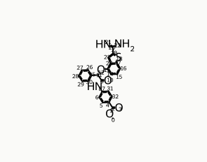 COC(=O)c1ccc(NC(=O)C(Oc2cccc3sc(C(=N)N)cc23)c2ccccc2)cc1